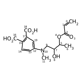 C=CC(=O)OC(C)C(O)CN(C)c1ccc(C(=O)O)c(C(=O)O)c1